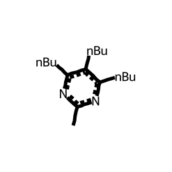 CCCCc1nc(C)nc(CCCC)c1CCCC